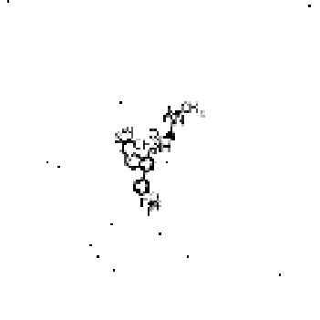 Cc1noc([C@H]2C[C@@H]2C(=O)NCc2ccc(-c3cccc(OC(F)(F)F)c3)c3c2CN(Cc2scnc2C)CC3)n1